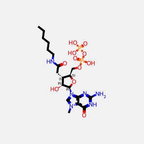 CCCCCCNC(=O)C[C@H]1[C@@H](O)[C@H](n2c[n+](C)c3c(=O)[nH]c(N)nc32)O[C@@H]1COP(=O)(O)OP(=O)(O)O